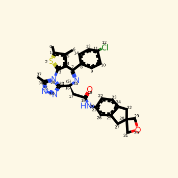 Cc1sc2c(c1C)C(c1ccc(Cl)cc1)=N[C@@H](CC(=O)Nc1ccc3c(c1)CC1(COC1)C3)c1nnc(C)n1-2